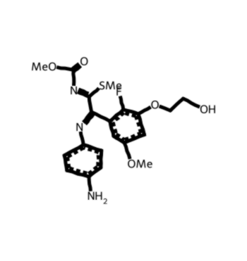 COC(=O)/N=C(SC)/C(=N/c1ccc(N)cc1)c1cc(OC)cc(OCCO)c1F